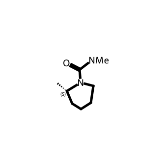 CNC(=O)N1CCCC[C@@H]1C